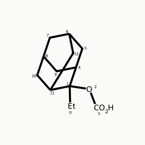 CCC1(OC(=O)O)C2CC3CC(C2)CC1C3